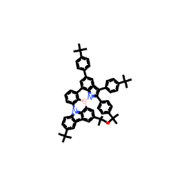 CC(C)(C)c1ccc(-c2cc3c4c(c2)c(-c2ccc(C(C)(C)C)cc2)c(-c2ccc(C(C)(C)C)cc2)n4B2c4c-3cccc4-n3c4ccc(C(C)(C)C)cc4c4cc(C(C)(C)C)cc2c43)cc1